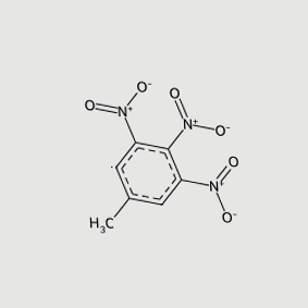 Cc1[c]c([N+](=O)[O-])c([N+](=O)[O-])c([N+](=O)[O-])c1